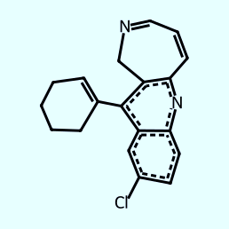 Clc1ccc2nc3c(c(C4=CCCCC4)c2c1)CN=CC=C3